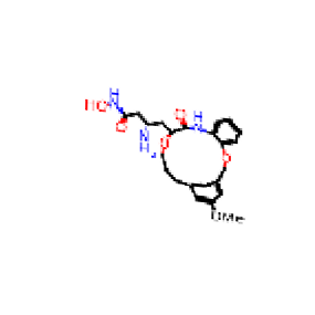 COc1cc2cc(c1)COc1ccccc1NC(=O)C(C[C@H](N)CC(=O)NO)OCCC2